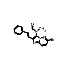 CN(C=O)c1c(C=Cc2ccccc2)nc2ccc(Br)nn12